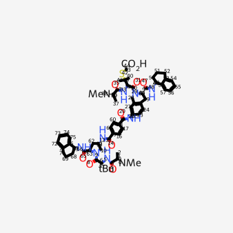 CN[C@@H](C)C(=O)NC(C(=O)N1C[C@@H](NC(=O)c2ccc(C(=O)Nc3ccc4c(c3)CN(C(=O)C(NC(=O)[C@H](C)NC)C(C)(C)SCC(=O)O)[C@H](C(=O)N[C@@H]3CCCc5ccccc53)C4)cc2)CC1C(=O)N[C@@H]1CCCc2ccccc21)C(C)(C)C